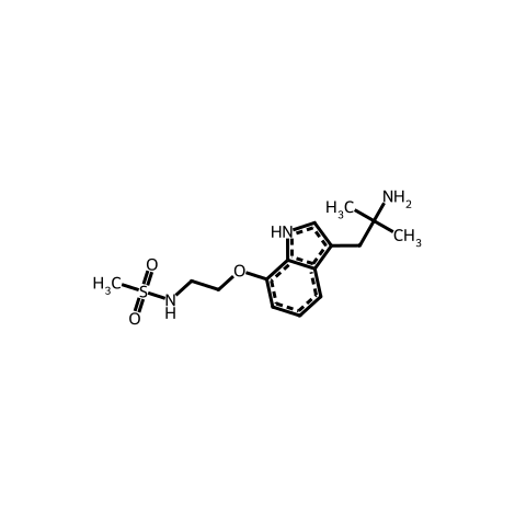 CC(C)(N)Cc1c[nH]c2c(OCCNS(C)(=O)=O)cccc12